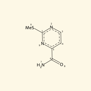 CSc1nc[c]c(C(N)=O)n1